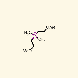 COCC[PH](C)(C)CCOC